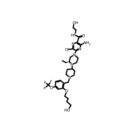 CC[C@H]1CN(c2nc(N)c(C(=O)NCCO)nc2Cl)CCN1C1CCN(Cc2ccc(OC(F)(F)F)cc2OCCCCO)CC1